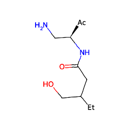 CCC(CO)CC(=O)N[C@@H](CN)C(C)=O